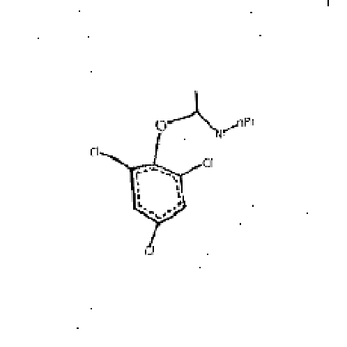 CCC[N]C(C)Oc1c(Cl)cc(Cl)cc1Cl